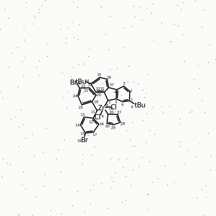 CC(C)(C)c1ccc2c(c1)[CH]([Zr]([Cl])([Cl])(=[C](c1ccc(Br)cc1)c1ccc(Br)cc1)[CH]1C=CC=C1)c1cc(C(C)(C)C)ccc1-2